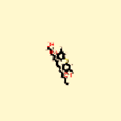 CCCCCCCCCCCCCCO.Cc1cc(Sc2ccc(O)c(C)c2)ccc1O